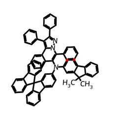 CC1(C)c2ccccc2-c2ccc(N(c3ccc4c(c3)C3(c5ccccc5-c5ccccc53)c3ccccc3-4)c3c(-c4ccccc4)n4nc(-c5ccccc5)c(-c5ccccc5)c4c4ccccc34)cc21